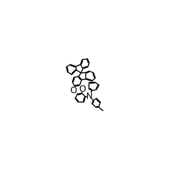 Cc1ccc(N(c2ccccc2)c2cccc3c2Oc2c(ccc4c2-c2ccccc2C42c4ccccc4-c4ccccc42)O3)cc1